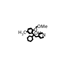 COCOc1ccc(C)cc1C(O)(Cc1ccncc1)C1CCCCC1